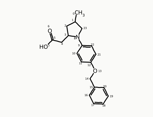 CC1CC(CC(=O)O)N(c2ccc(OCc3ccccc3)cc2)C1